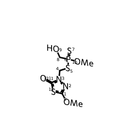 COc1nn(CSP(=S)(CO)OC)c(=O)s1